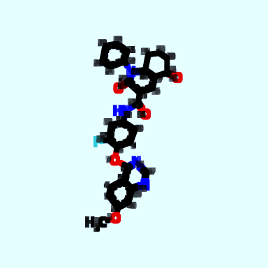 COc1ccc2c(Oc3ccc(NC(=O)c4cc5c(n(-c6ccccc6)c4=O)CCCC5=O)cc3F)ncnc2c1